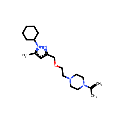 C=C(C)N1CCN(CCOCc2cc(C)n(C3CCCCC3)n2)CC1